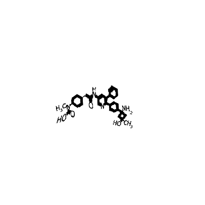 CN(C(=O)O)[C@H]1CC[C@H](CC(=O)Nc2cnc(-c3ccc([C@]4(N)C[C@](C)(O)C4)cc3)c(-c3ccccc3)c2)CC1